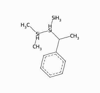 CC(c1ccccc1)[SiH]([SiH3])[SiH](C)C